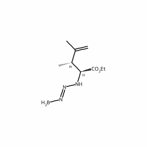 BN=NN[C@H](C(=O)OCC)[C@H](C)C(=C)C